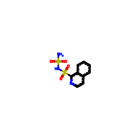 NS(=O)(=O)NS(=O)(=O)c1nccc2ccccc12